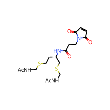 CC(=O)NCSCC[C@@H](CSCNC(C)=O)NC(=O)CCN1C(=O)C=CC1=O